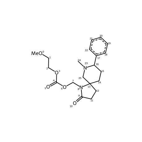 COCCOC(=O)OCN1C(=O)CCC12CCC(c1ccccc1)N(C)C2